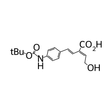 CC(C)(C)OC(=O)Nc1ccc(/C=C/C(=C\CO)C(=O)O)cc1